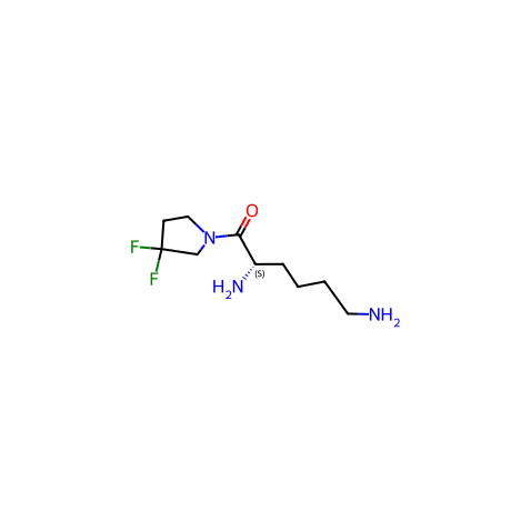 NCCCC[C@H](N)C(=O)N1CCC(F)(F)C1